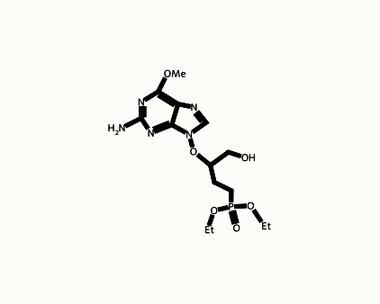 CCOP(=O)(CCC(CO)On1cnc2c(OC)nc(N)nc21)OCC